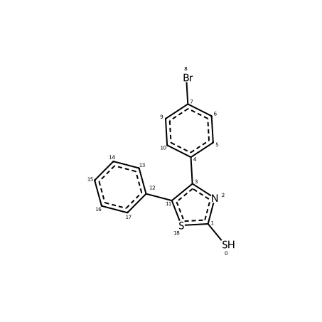 Sc1nc(-c2ccc(Br)cc2)c(-c2ccccc2)s1